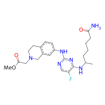 COC(=O)CN1CCc2ccc(Nc3ncc(F)c(NC(C)CCCCC(N)=O)n3)cc2C1